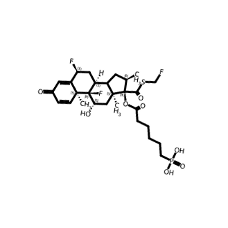 C[C@@H]1CC2[C@@H]3C[C@H](F)C4=CC(=O)C=C[C@]4(C)[C@@]3(F)[C@@H](O)C[C@]2(C)[C@@]1(OC(=O)CCCCCP(=O)(O)O)C(=O)SCF